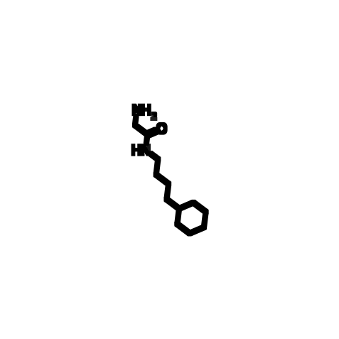 NCC(=O)NCCCCC1CCCCC1